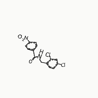 O=C(NCc1ccc(Cl)cc1Cl)c1ccc([N+](=O)[O-])cc1